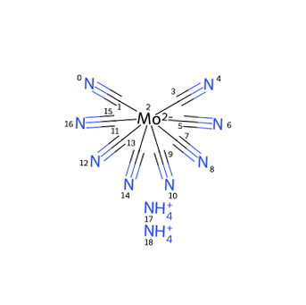 N#[C][Mo-2]([C]#N)([C]#N)([C]#N)([C]#N)([C]#N)([C]#N)[C]#N.[NH4+].[NH4+]